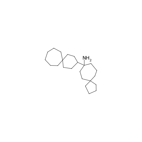 NC1(C2CCC3(CCCCCC3)CC2)CCCC2(CCCC2)CC1